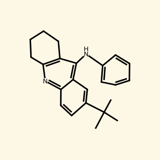 CC(C)(C)c1ccc2nc3c(c(Nc4ccccc4)c2c1)CCCC3